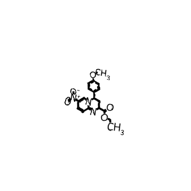 CCOC(=O)C1CC(c2ccc(OC)cc2)N2C=C([N+](=O)[O-])C=CC2=N1